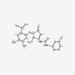 CN1C(NC(=O)Nc2cccc(Cl)c2)=NC(=O)/C1=C/c1cc(O)c(O)cc1[N+](=O)[O-]